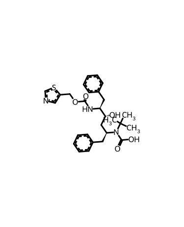 CC(C)(C)N(C(=O)O)[C@@H](Cc1ccccc1)C[C@@H](O)[C@H](Cc1ccccc1)NC(=O)OCc1cncs1